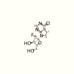 OCC1O[C@@H](n2ccc3c(Cl)ncnc32)[C@@H](F)[C@@H]1O